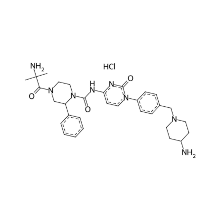 CC(C)(N)C(=O)N1CCN(C(=O)Nc2ccn(-c3ccc(CN4CCC(N)CC4)cc3)c(=O)n2)C(c2ccccc2)C1.Cl